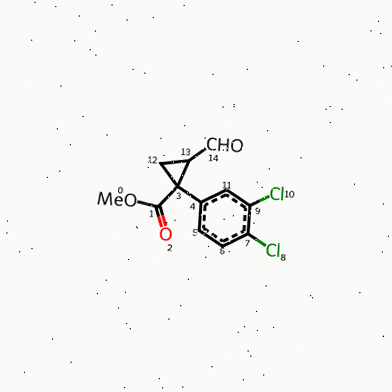 COC(=O)C1(c2ccc(Cl)c(Cl)c2)CC1C=O